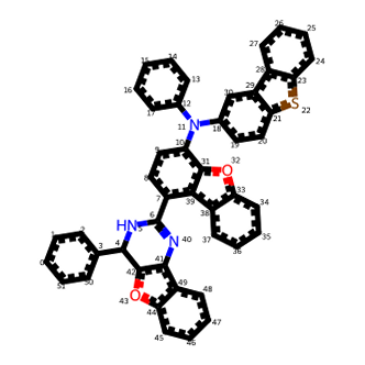 c1ccc(C2NC(c3ccc(N(c4ccccc4)c4ccc5sc6ccccc6c5c4)c4oc5ccccc5c34)=Nc3c2oc2ccccc32)cc1